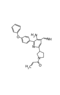 C=CC(=O)N1CCC(c2cc(C=N)c(N)c(-c3ccc(Oc4ccccc4)cc3)n2)C1